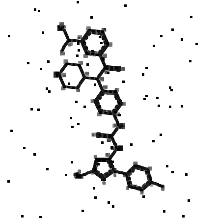 Cc1ccc(-n2nc(C(C)(C)C)cc2NC(=O)Nc2ccc(C(C(=O)c3cccc(C(C)C#N)c3)C3CCNCC3)cc2)cc1